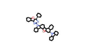 c1ccc(-c2nc(-n3c4ccccc4c4c5oc6cc(-n7c8ccccc8c8ccccc87)c7ccccc7c6c5ccc43)nc3c2oc2ccccc23)cc1